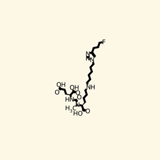 CN(C(=O)N[C@@H](CCC(=O)O)C(=O)O)[C@@H](CCCCNCCCCCCn1cc(CCCF)nn1)C(=O)O